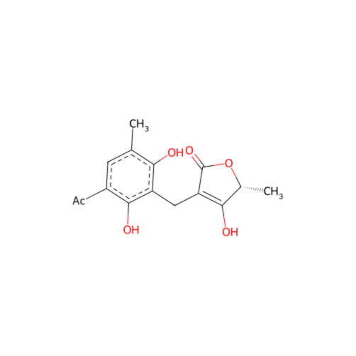 CC(=O)c1cc(C)c(O)c(CC2=C(O)[C@@H](C)OC2=O)c1O